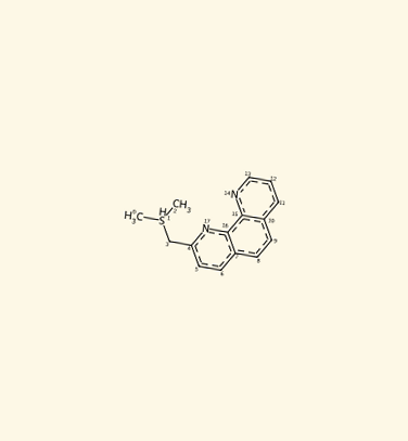 C[SH](C)Cc1ccc2ccc3cccnc3c2n1